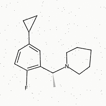 C[C@H](c1cc(C2CC2)ccc1F)N1CCCCC1